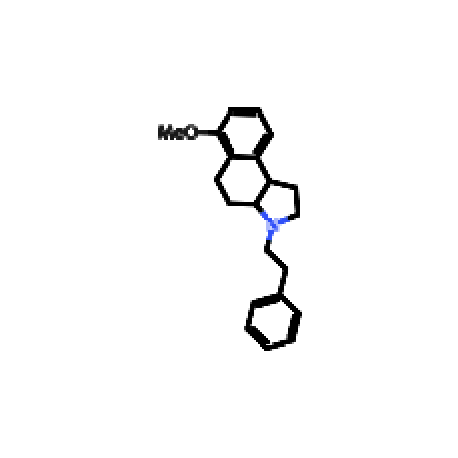 COc1cccc2c1CCC1C2CCN1CCc1ccccc1